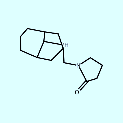 O=C1CCCN1CPC1C2CCCC1CCC2